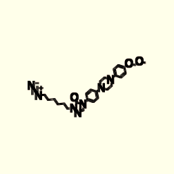 COCOc1ccc(N2CCN(c3ccc(-n4cnn(CCCCCCN=[N+]=[N-])c4=O)cc3)CC2)cc1